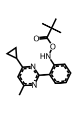 Cc1cc(C2CC2)nc(-c2ccccc2NOC(=O)C(C)(C)C)n1